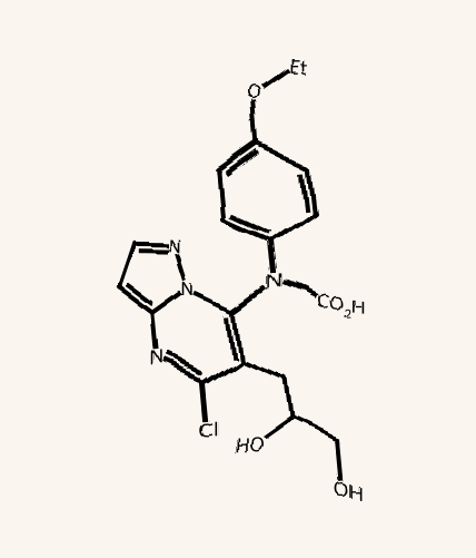 CCOc1ccc(N(C(=O)O)c2c(CC(O)CO)c(Cl)nc3ccnn23)cc1